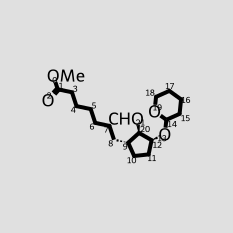 COC(=O)CCCCCC[C@H]1CC[C@@H](OC2CCCCO2)[C@@H]1C=O